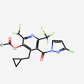 CC(=O)Oc1c(C(F)F)nc(C(F)(F)F)c(C(=O)n2ccc(F)n2)c1CC1CC1